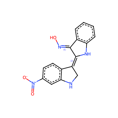 O=[N+]([O-])c1ccc2c(c1)NC/C2=C1\Nc2ccccc2\C1=N/O